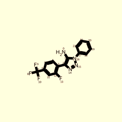 Nc1c(-c2ccc(C(F)(F)F)cc2F)nnn1-c1ccccc1